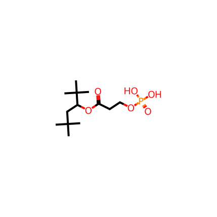 CC(C)(C)CC(OC(=O)CCOP(=O)(O)O)C(C)(C)C